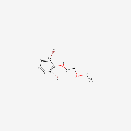 CCOCCOc1c(Br)cccc1Br